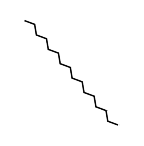 [CH2]C[CH]CCCCCCCCCCCCC